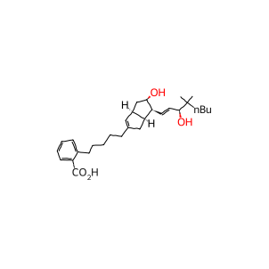 CCCCC(C)(C)[C@@H](O)/C=C/[C@H]1[C@H]2CC(CCCCCc3ccccc3C(=O)O)=C[C@H]2C[C@H]1O